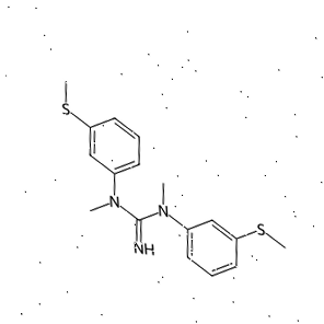 CSc1cccc(N(C)C(=N)N(C)c2cccc(SC)c2)c1